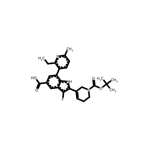 CCc1nc(C)ccc1-c1cc(C(=O)O)cc2c(F)c(C3=CCCN(C(=O)OC(C)(C)C)C3)[nH]c12